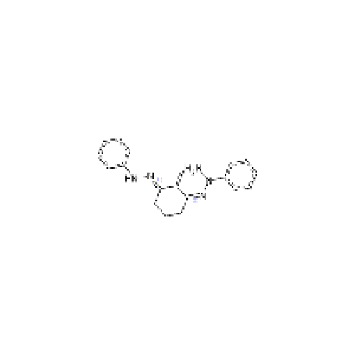 C=C1/C(=N\N(N)c2ccccc2)CCC/C1=N\Nc1ccccc1